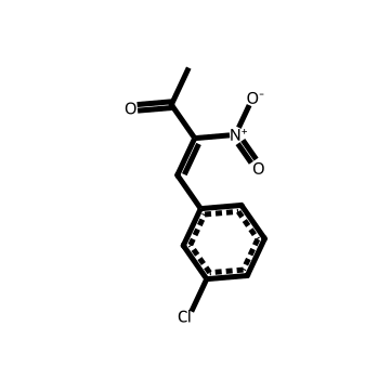 CC(=O)C(=Cc1cccc(Cl)c1)[N+](=O)[O-]